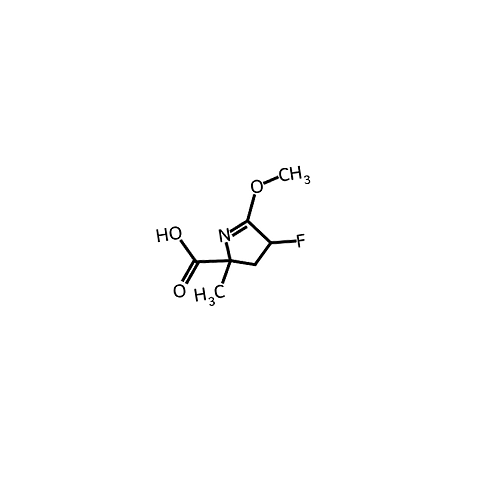 COC1=NC(C)(C(=O)O)CC1F